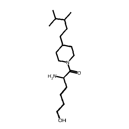 CC(C)C(C)CCC1CCN(C(=O)C(N)CCCCO)CC1